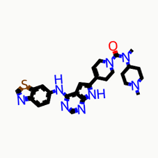 CN1CCC(N(C)C(=O)N2CC=C(c3cc4c(Nc5ccc6ncsc6c5)ncnc4[nH]3)CC2)CC1